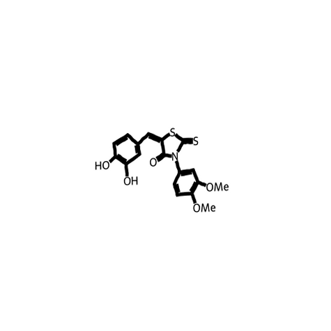 COc1ccc(N2C(=O)/C(=C\c3ccc(O)c(O)c3)SC2=S)cc1OC